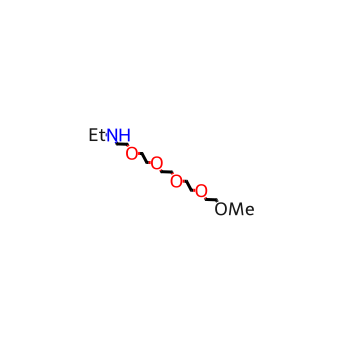 CCNCCOCCOCCOCCOCCOC